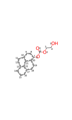 O=C(OCCO)Oc1ccc2ccc3cccc4ccc1c2c34